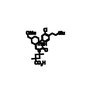 COCC1CC[C@]2(c3ccc(CCC(C)(C)C)c(Cl)c3)NC(=O)N(C3(C)CC(C)(C(=O)O)C3)C=C2C1